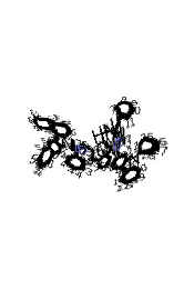 CN(/C(=N\C(=N)c1ccccc1)c1ccc2c3ccccc3n(-c3ccccc3)c2c1)[C@]1(C)C=CCC1CC/C=C(\c1ccccc1)n1c2cc3ccccc3cc2c2c3ccccc3ccc21